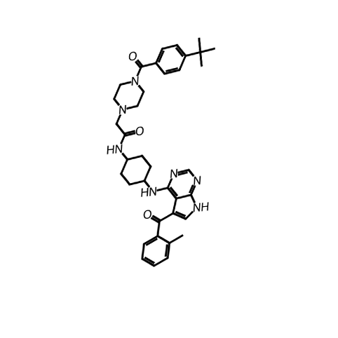 Cc1ccccc1C(=O)c1c[nH]c2ncnc(NC3CCC(NC(=O)CN4CCN(C(=O)c5ccc(C(C)(C)C)cc5)CC4)CC3)c12